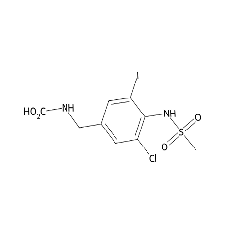 CS(=O)(=O)Nc1c(Cl)cc(CNC(=O)O)cc1I